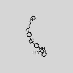 N=C(Nc1ccc(-c2ccc(-c3ccc(OCCCCn4ccnc4)cc3)o2)cc1)c1ccccn1